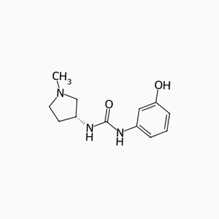 CN1CC[C@@H](NC(=O)Nc2cccc(O)c2)C1